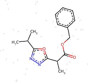 CC(C)c1nnc(C(C)C(=O)OCc2ccccc2)o1